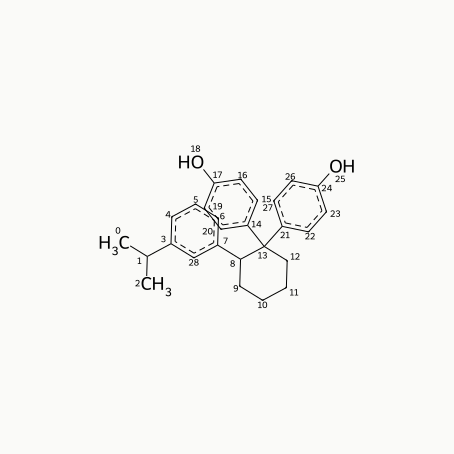 CC(C)c1cccc(C2CCCCC2(c2ccc(O)cc2)c2ccc(O)cc2)c1